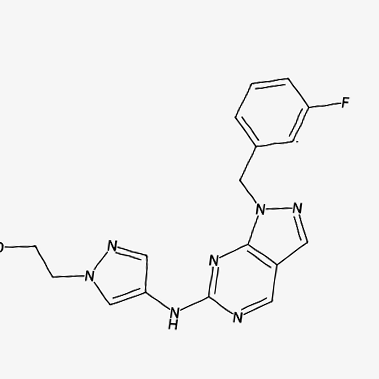 OCCn1cc(Nc2ncc3cnn(Cc4[c]c(F)ccc4)c3n2)cn1